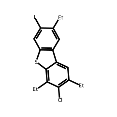 CCc1cc2c(cc1I)sc1c(CC)c(Cl)c(CC)cc12